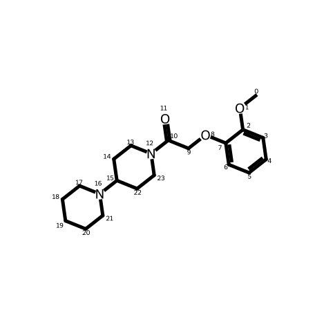 COc1ccccc1OCC(=O)N1CCC(N2CCCCC2)CC1